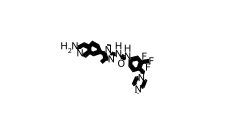 Cc1nc(NC(=O)Nc2ccc(CN3CCN(C)CC3)c(C(F)(F)F)c2)n(C)c1-c1ccc2cc(N)ncc2c1